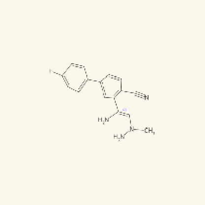 CN(N)/C=C(\N)c1cc(-c2ccc(F)cc2)ccc1C#N